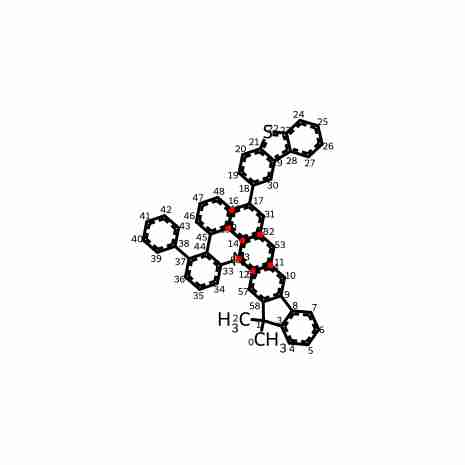 CC1(C)c2ccccc2-c2ccc(N(c3ccc(-c4ccc5sc6ccccc6c5c4)cc3)c3cccc(-c4ccccc4)c3-c3ccccc3-c3ccccc3)cc21